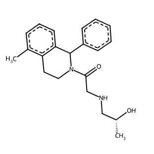 Cc1cccc2c1CCN(C(=O)CNC[C@@H](C)O)C2c1ccccc1